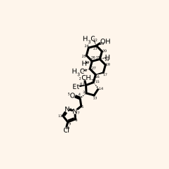 CC[C@]1(C)[C@@H](C(=O)Cn2cc(Cl)cn2)CC[C@H]1[C@@H]1CC[C@@H]2C[C@](C)(O)CC[C@@H]2[C@H]1C